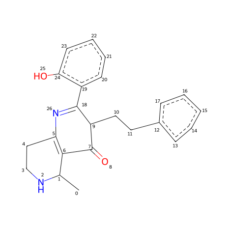 CC1NCCC2=C1C(=O)C(CCc1ccccc1)C(c1ccccc1O)=N2